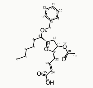 CCCCCC(OCc1ccccc1)[C@H]1C[C@@H](OC(C)=O)[C@@H](C/C=C/C(=O)O)O1